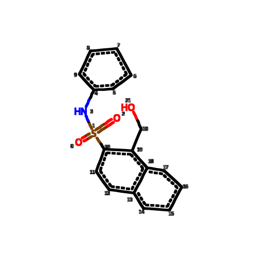 O=S(=O)(Nc1ccccc1)c1ccc2ccccc2c1CO